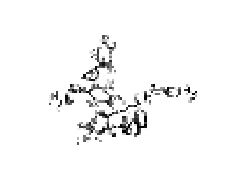 COCOC(=O)CC(C(=O)S)C(c1ccccc1)c1ccc(OC2CCCC2)c(OC)c1